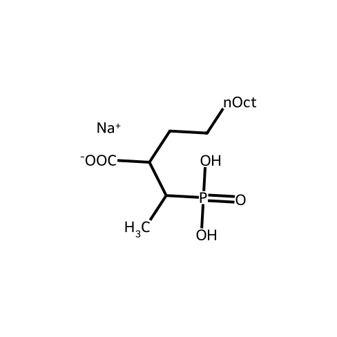 CCCCCCCCCCC(C(=O)[O-])C(C)P(=O)(O)O.[Na+]